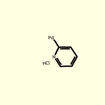 Cl.[Pd][c]1ccccn1